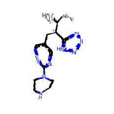 CCCC(C(=O)O)[C@H](Cc1cnc(N2CCNCC2)nc1)c1nnn[nH]1